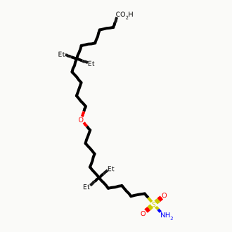 CCC(CC)(CCCCOCCCCC(CC)(CC)CCCCS(N)(=O)=O)CCCCC(=O)O